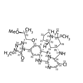 CO[C@@H](C)COc1cc(F)c(Nc2ncc(Cl)c(N[C@@H]3C[C@@H]4CCCN4C(C)(C)C3)n2)cc1-n1nnn(C)c1=O